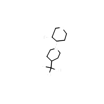 CC(C)(C)C1CCN([C@H]2CCOC[C@H]2F)CC1